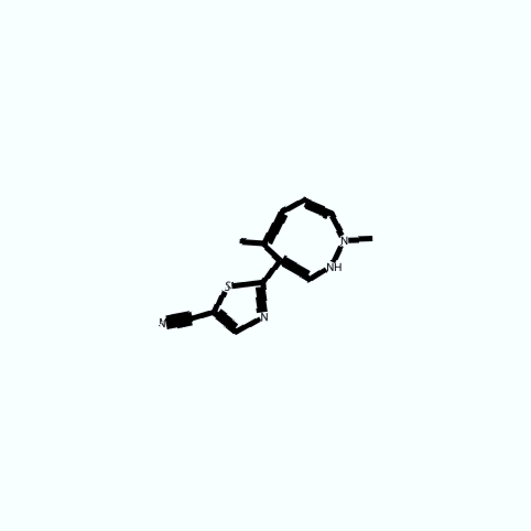 Cc1cccn(C)[nH]cc1-c1ncc(C#N)s1